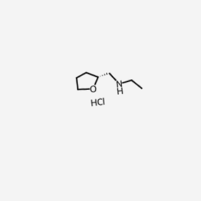 CCNC[C@H]1CCCO1.Cl